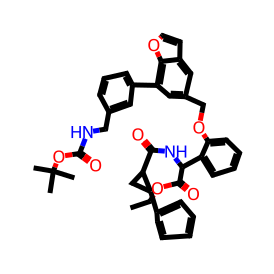 CCOC(=O)C(NC(=O)C1CC1c1ccccc1)c1ccccc1OCc1cc(-c2cccc(CNC(=O)OC(C)(C)C)c2)c2occc2c1